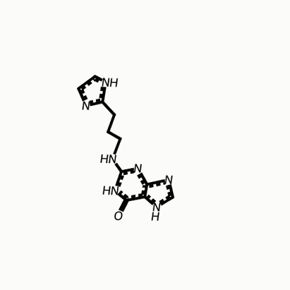 O=c1[nH]c(NCCCc2ncc[nH]2)nc2nc[nH]c12